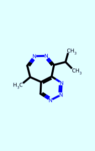 CC(C)C1=NN=CC(C)c2cnnnc21